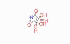 O=C1[N]C(=O)C(O)(O)C1(O)O